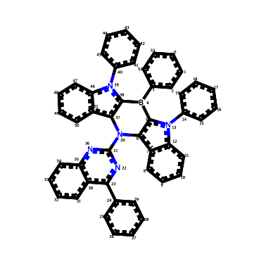 c1ccc(B2c3c(c4ccccc4n3-c3ccccc3)N(c3nc(-c4ccccc4)c4ccccc4n3)c3c2n(-c2ccccc2)c2ccccc32)cc1